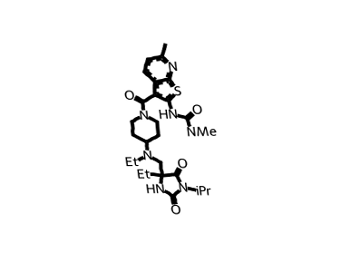 CCN(CC1(CC)NC(=O)N(C(C)C)C1=O)C1CCN(C(=O)c2c(NC(=O)NC)sc3nc(C)ccc23)CC1